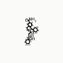 NC(=O)c1ccc2c(c1)CCN(C(=O)CNCC1(O)CCCCC1)C2C1CCCCC1